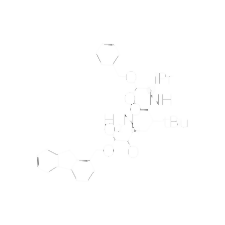 CC(C)[C@H](NC(=O)C(C[C@H](N)C(=O)C(=O)OCc1cccc2c1Cc1ccccc1-2)C(C)(C)C)C(=O)OCc1ccccc1